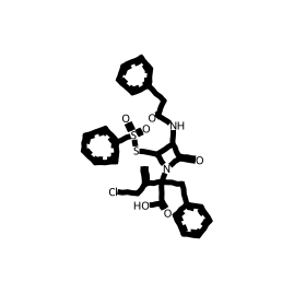 C=C(CCl)C(Cc1ccccc1)(C(=O)O)N1C(=O)C(NC(=O)Cc2ccccc2)C1SS(=O)(=O)c1ccccc1